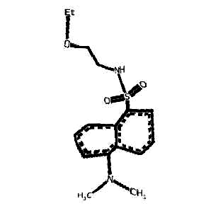 CCOCCNS(=O)(=O)c1cccc2c(N(C)C)cccc12